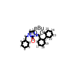 CCCCc1cn(Cc2ccccc2)c(=O)n1Cc1ccccc1-c1ccccc1C(=O)O